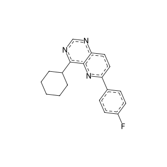 Fc1ccc(-c2ccc3ncnc(C4CCCCC4)c3n2)cc1